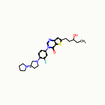 CCC(O)CCc1cc2ncn(-c3ccc(N4CC[C@@H](N5CCCC5)C4)c(F)c3)c(=O)c2s1